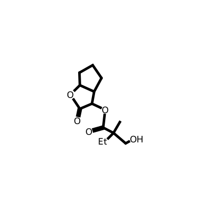 CCC(C)(CO)C(=O)OC1C(=O)OC2CCCC21